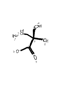 O=C([O-])C(O)(O)O.[Na+]